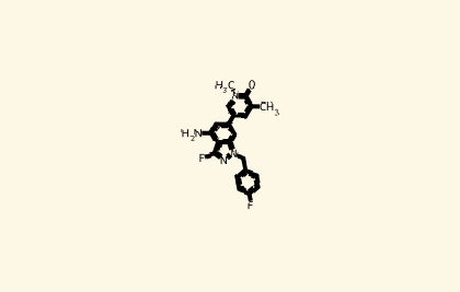 Cc1cc(-c2cc(N)c3c(F)nn(Cc4ccc(F)cc4)c3c2)cn(C)c1=O